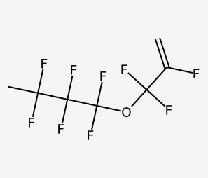 C=C(F)C(F)(F)OC(F)(F)C(F)(F)C(C)(F)F